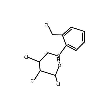 ClCc1ccccc1[SiH]1CC(Cl)C(Cl)C(Cl)O1